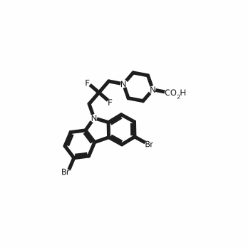 O=C(O)N1CCN(CC(F)(F)Cn2c3ccc(Br)cc3c3cc(Br)ccc32)CC1